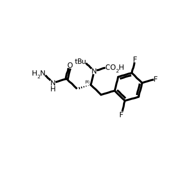 CC(C)(C)N(C(=O)O)[C@@H](CC(=O)NN)Cc1cc(F)c(F)cc1F